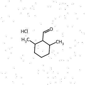 CC1CCCC(C)C1C=O.Cl